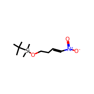 CC(C)(C)[Si](C)(C)OCCC=C[N+](=O)[O-]